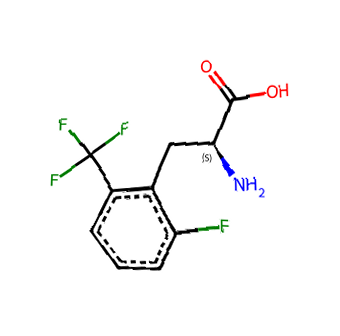 N[C@@H](Cc1c(F)cccc1C(F)(F)F)C(=O)O